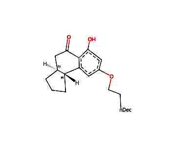 CCCCCCCCCCCCOc1cc(O)c2c(c1)[C@@H]1CCC[C@H]1CC2=O